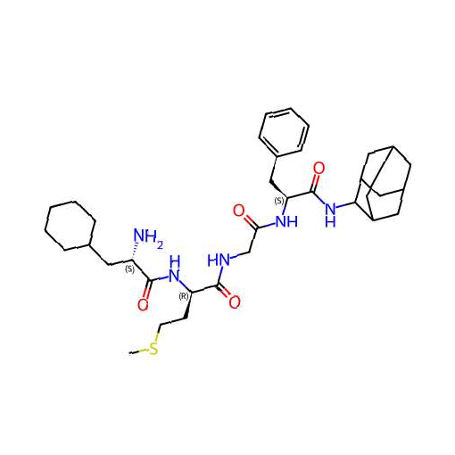 CSCC[C@@H](NC(=O)[C@@H](N)CC1CCCCC1)C(=O)NCC(=O)N[C@@H](Cc1ccccc1)C(=O)NC1C2CC3CC(C2)CC1C3